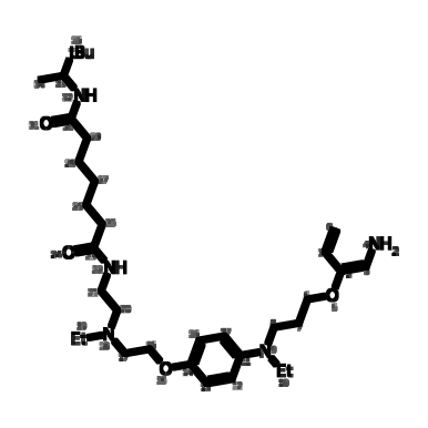 C=C/C(=C\N)OCCCN(CC)c1ccc(OCCN(CC)CCNC(=O)CCCCCC(=O)NC(C)C(C)(C)C)cc1